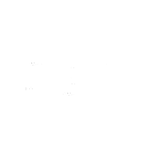 COc1cc(C(=O)Oc2ccc(Oc3ccccc3)cc2)c(OC)cc1CO